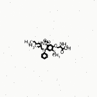 CCCCC1(CC)CN(c2ccccc2)c2cc(SC)c(OCC(N)C(=O)O)cc2S(=O)(=O)N1